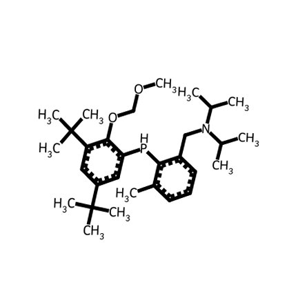 COCOc1c(Pc2c(C)cccc2CN(C(C)C)C(C)C)cc(C(C)(C)C)cc1C(C)(C)C